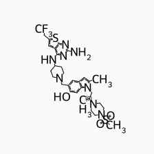 Cc1cc2cc(CN3CCC(Nc4nc(N)nc5sc(CC(F)(F)F)cc45)CC3)c(O)cc2n1C[C@H](C)N1CCN(S(C)(=O)=O)CC1